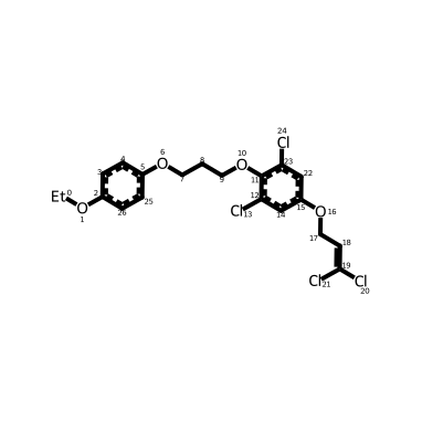 CCOc1ccc(OCCCOc2c(Cl)cc(OCC=C(Cl)Cl)cc2Cl)cc1